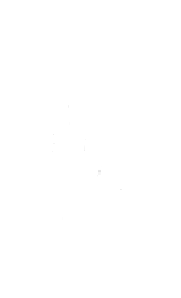 CC(=O)/C(=C/c1ccc(Cl)cc1)C(=O)O